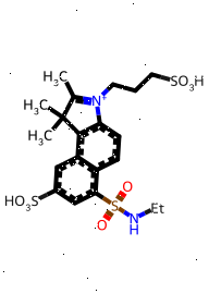 CCNS(=O)(=O)c1cc(S(=O)(=O)O)cc2c3c(ccc12)[N+](CCCS(=O)(=O)O)=C(C)C3(C)C